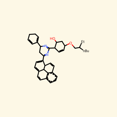 CCCCC(CC)COC1C=CC(C2=NC(C3=CCCC=C3)CC(C3=CC=C4C=Cc5cccc6c5C4C3C=C6)=N2)C(O)C1